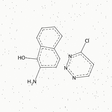 Clc1ccnnn1.Nc1ccc2ccccc2c1O